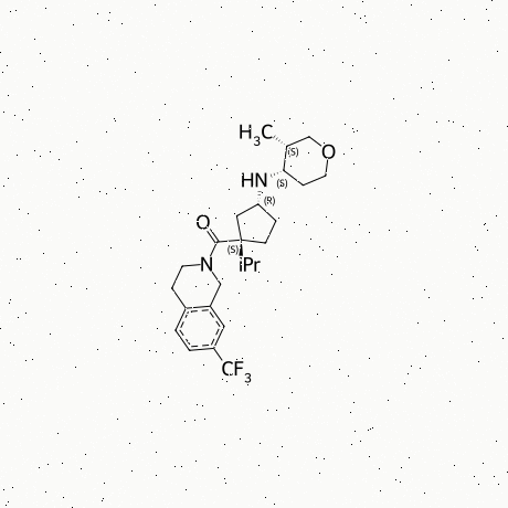 CC(C)[C@]1(C(=O)N2CCc3ccc(C(F)(F)F)cc3C2)CC[C@@H](N[C@H]2CCOC[C@H]2C)C1